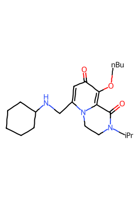 CCCCOc1c2n(c(CNC3CCCCC3)cc1=O)CCN(C(C)C)C2=O